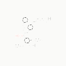 COc1cc([C@@H](O)[C@@H](CCCc2ccccc2)Cc2ccc(CCCC(=O)O)cc2)cc(OC)c1C